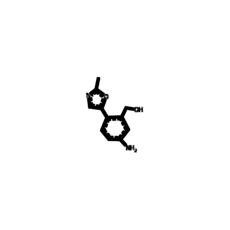 Cc1ncc(-c2ccc(N)cc2CO)o1